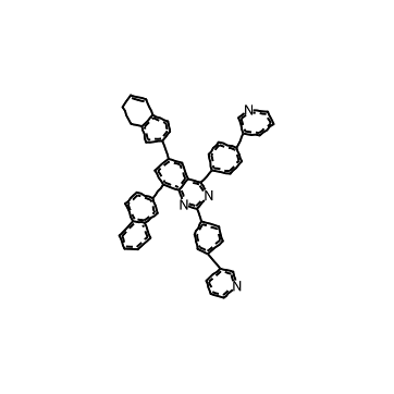 C1=Cc2ccc(-c3cc(-c4ccc5ccccc5c4)c4nc(-c5ccc(-c6cccnc6)cc5)nc(-c5ccc(-c6cccnc6)cc5)c4c3)cc2CC1